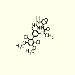 C=CC(=O)N[C@H]1COC[C@H]1Nc1ncc2cc(-c3c(Cl)c(OC)cc(OC)c3Cl)cc(Cl)c2n1